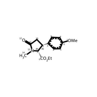 CCOC(=O)[C@H]1[C@@H](c2ccc(OC)cc2)CC(=O)N1C